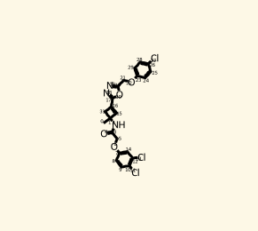 CC1(NC(=O)COc2ccc(Cl)c(Cl)c2)C=C(c2nnc(COc3ccc(Cl)cc3)o2)C1